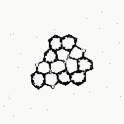 c1cc2c3c(c1)Oc1cc4ccc5ccc6c7c5c4c4c1B3c1c(cc3ccc5ccc(c8c5c3c1N4B87)O6)O2